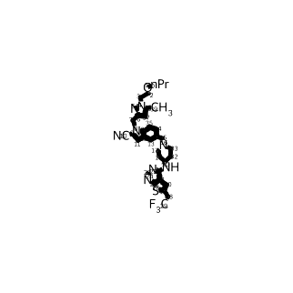 CCCOCCn1nc(Cn2c(C#N)cc3cc(CN4CCC(Nc5ncnc6sc(CC(F)(F)F)cc56)CC4)ccc32)cc1C